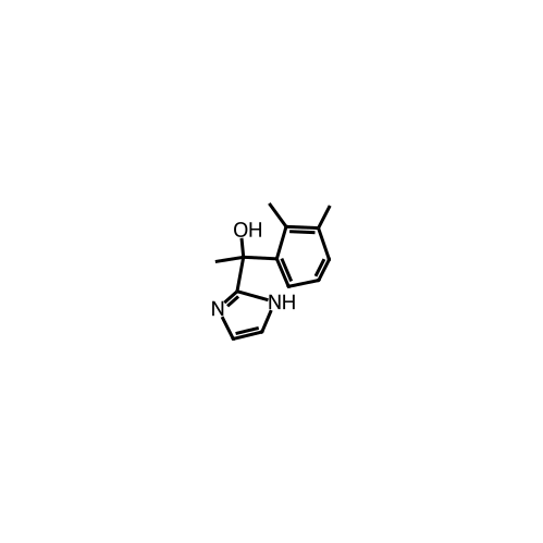 Cc1cccc(C(C)(O)c2ncc[nH]2)c1C